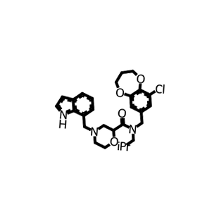 CC(C)CN(Cc1cc(Cl)c2c(c1)OCCCO2)C(=O)C1CN(Cc2cccc3cc[nH]c23)CCO1